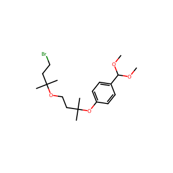 COC(OC)c1ccc(OC(C)(C)CCOC(C)(C)CCBr)cc1